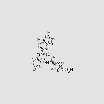 Cc1ccc(OCc2cc(C)c3c(c2)CCNC3)c(-c2cccc(N3CC[C@@](C)(C(=O)O)C3)n2)c1